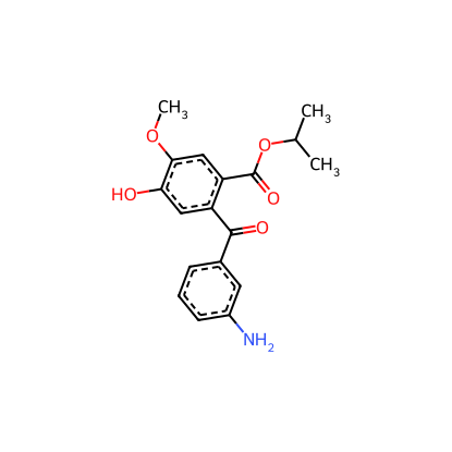 COc1cc(C(=O)OC(C)C)c(C(=O)c2cccc(N)c2)cc1O